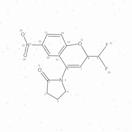 O=C1CCCN1C1=CC(C(F)F)Oc2ccc([N+](=O)[O-])cc21